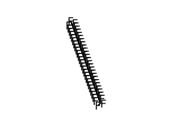 FC(F)C(F)(F)C(F)(F)C(F)(F)C(F)(F)C(F)(F)C(F)(F)C(F)(F)C(F)(F)C(F)(F)C(F)(F)C(F)(F)C(F)(F)C(F)(F)C(F)(F)C(F)(F)C(F)(F)C(F)(F)C(F)(F)C(F)(F)C(F)(F)C(F)(F)C(F)(F)C(F)(F)C(F)(F)C(F)(F)F